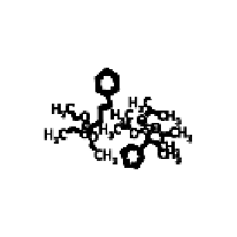 CCC(c1ccccc1)[Si](OC(C)C)(OC(C)C)OC(C)C.CCO[Si](CC=Cc1ccccc1)(OCC)OCC